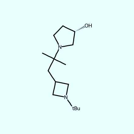 CC(C)(C)N1CC(CC(C)(C)N2CC[C@H](O)C2)C1